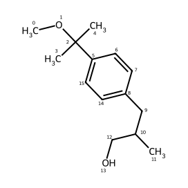 COC(C)(C)c1ccc(CC(C)CO)cc1